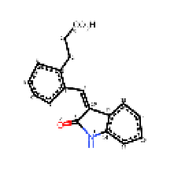 O=C(O)CCc1ccccc1C=C1C(=O)Nc2ccccc21